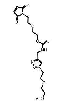 CC(=O)OCCOCCn1cc(CNC(=O)OCCOCCN2C(=O)C=CC2=O)nn1